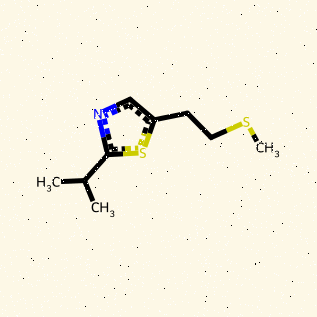 CSCCc1cnc(C(C)C)s1